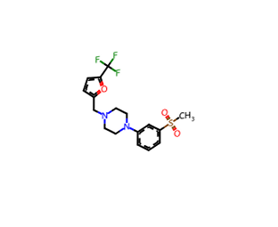 CS(=O)(=O)c1cccc(N2CCN(Cc3ccc(C(F)(F)F)o3)CC2)c1